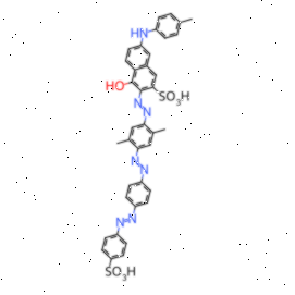 Cc1ccc(Nc2ccc3c(O)c(N=Nc4cc(C)c(N=Nc5ccc(N=Nc6ccc(S(=O)(=O)O)cc6)cc5)cc4C)c(S(=O)(=O)O)cc3c2)cc1